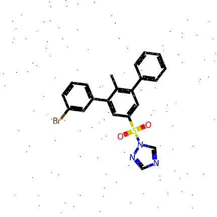 Cc1c(-c2ccccc2)cc(S(=O)(=O)n2cncn2)cc1-c1cccc(Br)c1